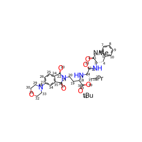 CNC(=O)[C@H](Cc1ccccc1)NC(=O)[C@H](CC(C)C)NC(CCN1C(=O)c2ccc(N3CCOCC3)cc2C1=O)C(=O)OC(C)(C)C